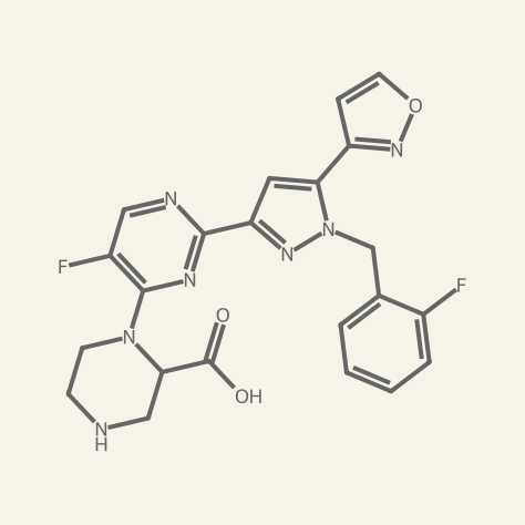 O=C(O)C1CNCCN1c1nc(-c2cc(-c3ccon3)n(Cc3ccccc3F)n2)ncc1F